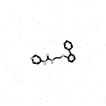 O=C(NCCOc1ccccc1-c1ccccc1)Nc1ccncc1